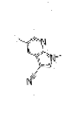 Cc1cnc2c(c1)c(C#N)cn2C